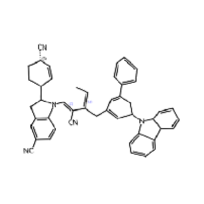 C/C=C(CC1=CC(N2c3ccccc3C3C=CC=CC32)CC(c2ccccc2)=C1)\C(C#N)=C\N1c2ccc(C#N)cc2CC1C1C=C[C@@H](C#N)CC1